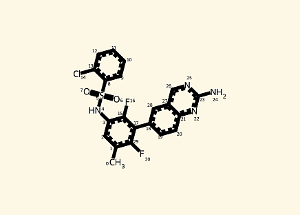 Cc1cc(NS(=O)(=O)c2ccccc2Cl)c(F)c(-c2ccc3nc(N)ncc3c2)c1F